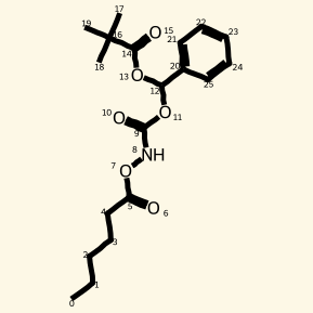 CCCCCC(=O)ONC(=O)OC(OC(=O)C(C)(C)C)c1ccccc1